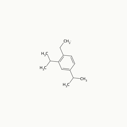 [CH2]Cc1ccc(C(C)C)cc1C(C)C